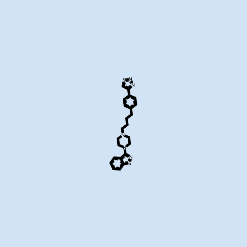 c1ccc2c(N3CCN(CCCCc4ccc(-c5csnn5)cc4)CC3)nsc2c1